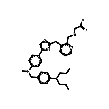 CCCC(CCC)c1ccc(CN(C)c2ccc(-c3csc(Cc4cccnc4CNCC(=O)O)n3)cc2)cc1